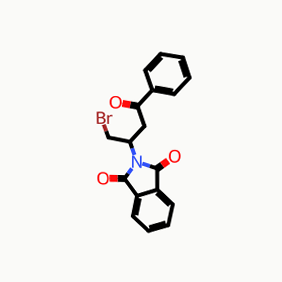 O=C(CC(CBr)N1C(=O)c2ccccc2C1=O)c1ccccc1